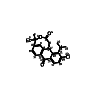 CCC1(C)OC(=O)Cn2c3cc1ccc3c(=O)c1ccc(Cl)c(N(C)C)c12